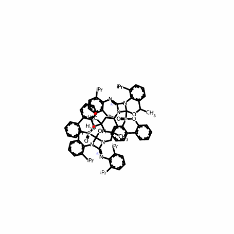 CC(C)c1cccc(C(C)C)c1/N=C1\N(CC2(C)CC(N3/C(=N\c4c(C(C)C)cccc4C(C)C)N4c5c(C(C)C)cccc5C(C)OC43P3(=O)Oc4ccccc4-c4ccccc43)CC(C)(C)C2)C(O)(P2(=O)Oc3ccccc3-c3ccccc32)N1c1c(C(C)C)cccc1C(C)C